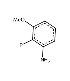 COc1cc[c]c(N)c1F